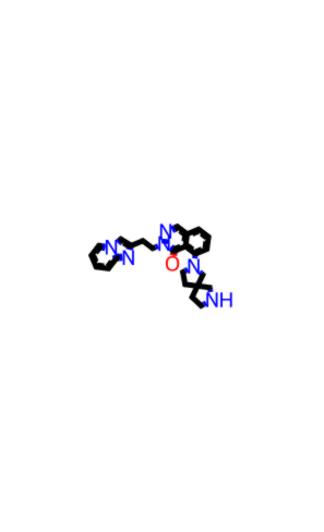 O=c1c2c(N3CCC4(CCNC4)C3)cccc2cnn1CCc1cn2ccccc2n1